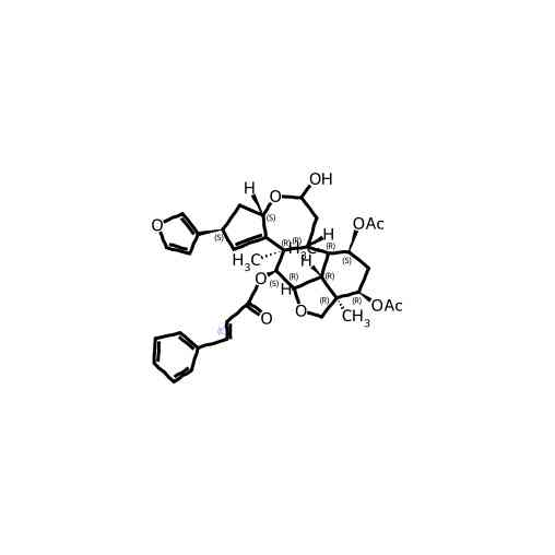 CC(=O)O[C@H]1C[C@@H](OC(C)=O)[C@@]2(C)CO[C@H]3[C@@H](OC(=O)/C=C/c4ccccc4)[C@@]4(C)C5=C[C@@H](c6ccoc6)C[C@@H]5OC(O)C[C@@H]4[C@]1(C)[C@@H]32